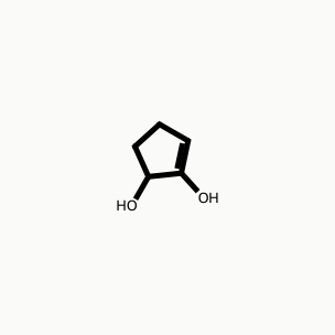 OC1=CCCC1O